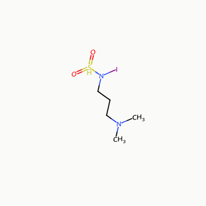 CN(C)CCCN(I)[SH](=O)=O